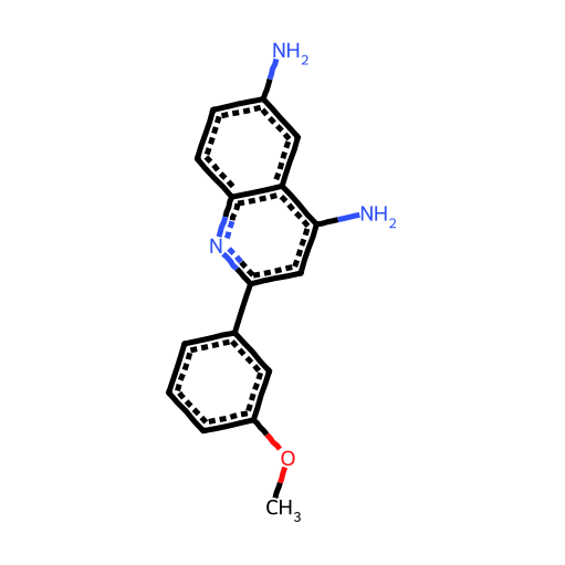 COc1cccc(-c2cc(N)c3cc(N)ccc3n2)c1